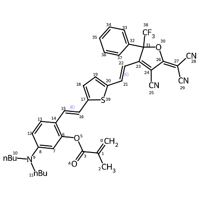 C=C(C)C(=O)Oc1cc(N(CCCC)CCCC)ccc1/C=C/c1ccc(/C=C/C2=C(C#N)C(=C(C#N)C#N)OC2(c2ccccc2)C(F)(F)F)s1